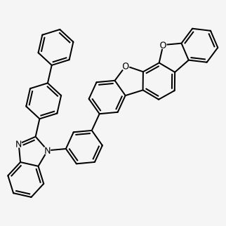 c1ccc(-c2ccc(-c3nc4ccccc4n3-c3cccc(-c4ccc5oc6c(ccc7c8ccccc8oc76)c5c4)c3)cc2)cc1